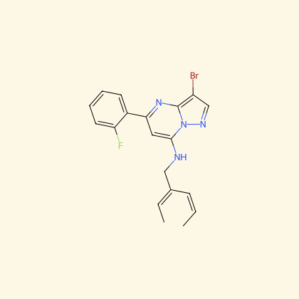 C/C=C\C(=C/C)CNc1cc(-c2ccccc2F)nc2c(Br)cnn12